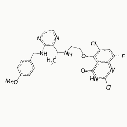 COc1ccc(CNc2nccnc2[C@@H](C)NCCOc2c(Cl)cc(F)c3nc(Cl)[nH]c(=O)c23)cc1